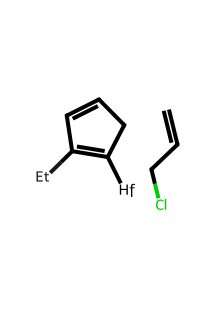 C=CCCl.CCC1=[C]([Hf])CC=C1